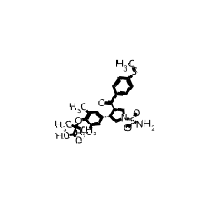 CSc1ccc(C(=O)[C@H]2CN(S(N)(=O)=O)C[C@@H]2c2cc(C)c(OC(C)(C)C(=O)O)c(C)c2)cc1